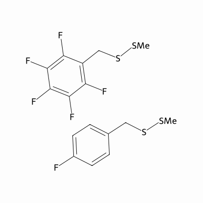 CSSCc1c(F)c(F)c(F)c(F)c1F.CSSCc1ccc(F)cc1